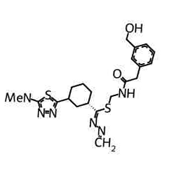 C=N/N=C(\SCNC(=O)Cc1cccc(CO)c1)[C@H]1CCCC(c2nnc(NC)s2)C1